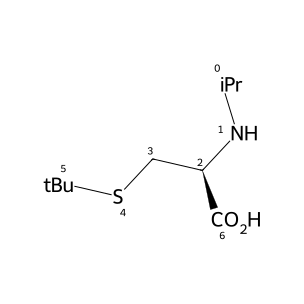 CC(C)N[C@H](CSC(C)(C)C)C(=O)O